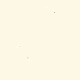 Cc1noc(C)c1-c1cc(-c2ccccc2C2CC2)c2[nH]c(=O)[nH]c2c1